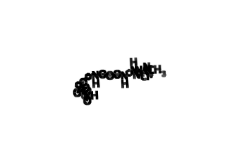 Cn1ncc(-c2nc(N[C@H]3CC[C@H](NCCOCCOCCOCCNCc4ccc(COc5cccc6c5C(=O)N([C@H]5CCC(=O)NC5=O)C6=O)cc4)CC3)ncc2Cl)c1CC1CC1